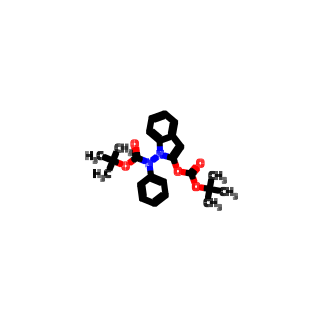 CC(C)(C)OC(=O)Oc1cc2ccccc2n1N(C(=O)OC(C)(C)C)c1ccccc1